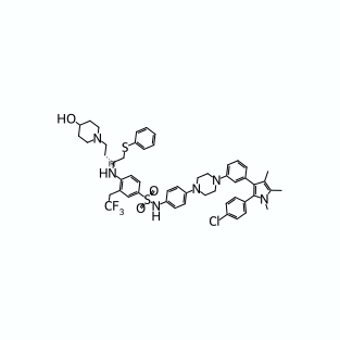 Cc1c(-c2cccc(N3CCN(c4ccc(NS(=O)(=O)c5ccc(N[C@H](CCN6CCC(O)CC6)CSc6ccccc6)c(CC(F)(F)F)c5)cc4)CC3)c2)c(-c2ccc(Cl)cc2)n(C)c1C